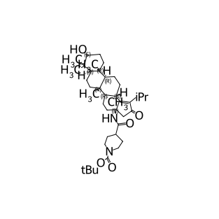 CC(C)C1=C2[C@H]3CC[C@@H]4[C@@]5(C)CC[C@H](O)C(C)(C)[C@@H]5CC[C@@]4(C)[C@]3(C)CC[C@@]2(NC(=O)C2CCN(C(=O)OC(C)(C)C)CC2)CC1=O